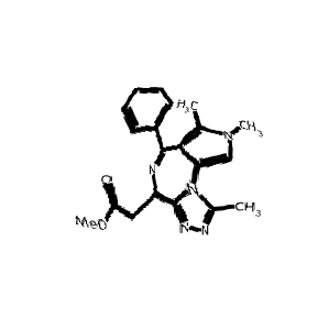 COC(=O)CC1N=C(c2ccccc2)c2c(cn(C)c2C)-n2c(C)nnc21